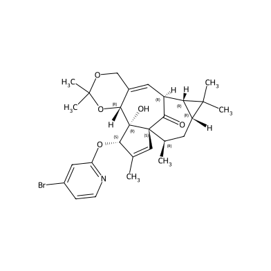 CC1=C[C@]23C(=O)[C@@H](C=C4COC(C)(C)O[C@H]4[C@]2(O)[C@H]1Oc1cc(Br)ccn1)[C@H]1[C@@H](C[C@H]3C)C1(C)C